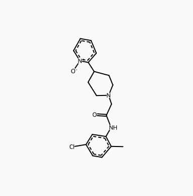 Cc1ccc(Cl)cc1NC(=O)CN1CCC(c2cccc[n+]2[O-])CC1